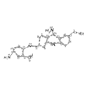 CCOc1ccc2nc3cc(N=Nc4ccc(N)cc4O)ccc3c(N)c2c1